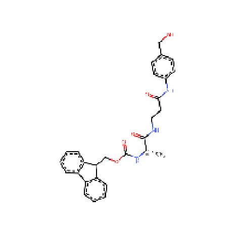 C[C@H](NC(=O)OCC1c2ccccc2-c2ccccc21)C(=O)NCCC(=O)Nc1ccc(CO)cc1